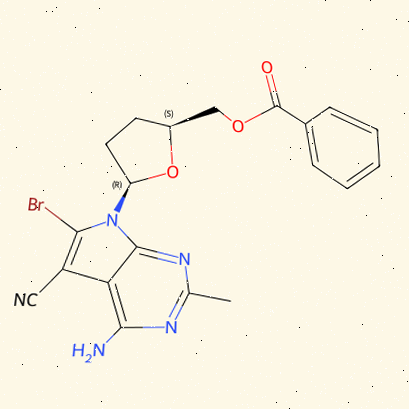 Cc1nc(N)c2c(C#N)c(Br)n([C@H]3CC[C@@H](COC(=O)c4ccccc4)O3)c2n1